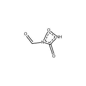 O=Cn1o[nH]c1=O